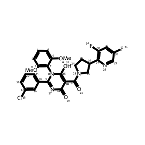 COc1cccc(OC)c1-n1c(-c2cccc(Cl)c2)nc(=O)c(C(=O)N2CCC(c3ncc(F)cc3F)C2)c1O